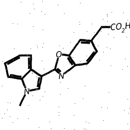 Cn1cc(-c2nc3ccc(CC(=O)O)cc3o2)c2ccccc21